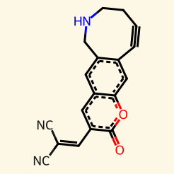 N#CC(C#N)=Cc1cc2cc3c(cc2oc1=O)C#CCCNC3